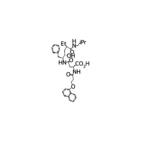 CC[C@H](C[C@H](O)[C@H](Cc1ccccc1)NC(=O)C[C@H](NC(=O)CCOc1cccc2ccccc12)C(=O)O)C(=O)NCC(C)C